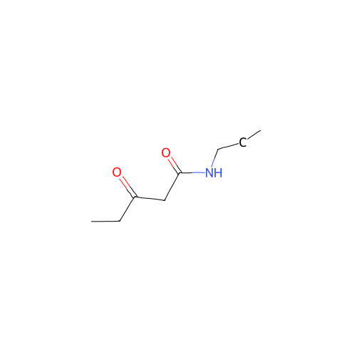 CCCNC(=O)CC(=O)CC